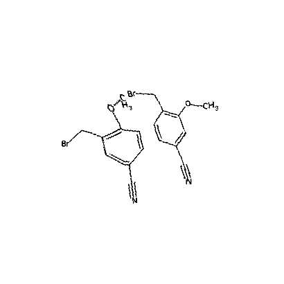 COc1cc(C#N)ccc1CBr.COc1ccc(C#N)cc1CBr